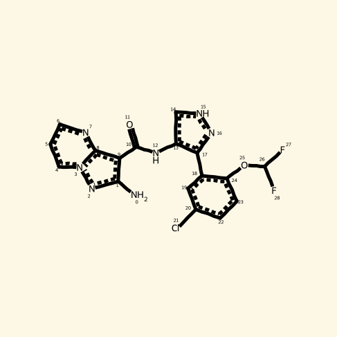 Nc1nn2cccnc2c1C(=O)Nc1c[nH]nc1-c1cc(Cl)ccc1OC(F)F